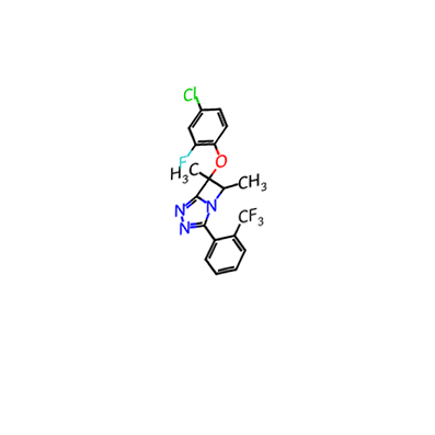 CC1n2c(-c3ccccc3C(F)(F)F)nnc2C1(C)Oc1ccc(Cl)cc1F